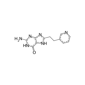 Nc1nc2nc(CCc3cccnc3)[nH]c2c(=O)[nH]1